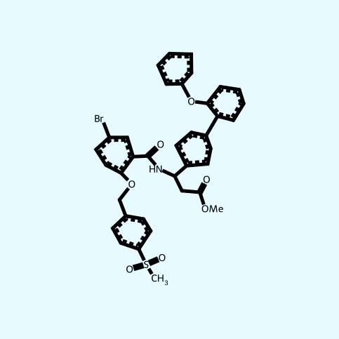 COC(=O)CC(NC(=O)c1cc(Br)ccc1OCc1ccc(S(C)(=O)=O)cc1)c1ccc(-c2ccccc2Oc2ccccc2)cc1